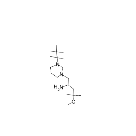 COC(C)(C)CC(N)CN1CCCN(C(C)(C)C(C)(C)C)C1